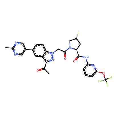 CC(=O)c1nn(CC(=O)N2C[C@H](F)C[C@H]2C(=O)Nc2cccc(OC(F)(F)F)n2)c2ccc(-c3cnc(C)nc3)cc12